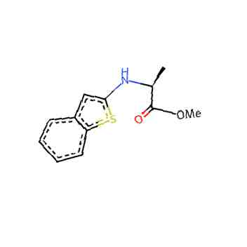 COC(=O)[C@H](C)Nc1cc2ccccc2s1